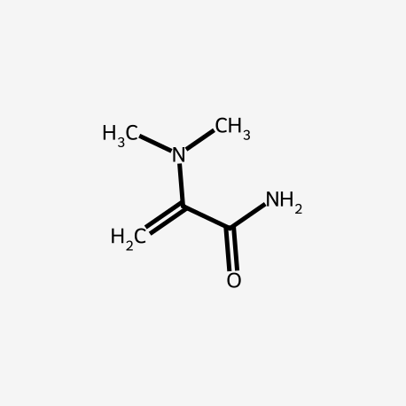 C=C(C(N)=O)N(C)C